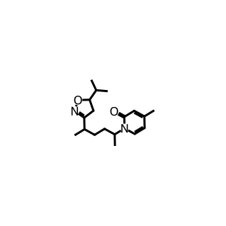 Cc1ccn(C(C)CCC(C)C2=NOC(C(C)C)C2)c(=O)c1